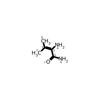 CC(C)=C(N)C(N)=O